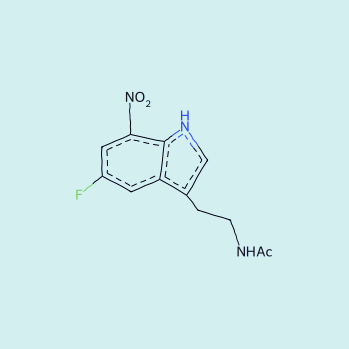 CC(=O)NCCc1c[nH]c2c([N+](=O)[O-])cc(F)cc12